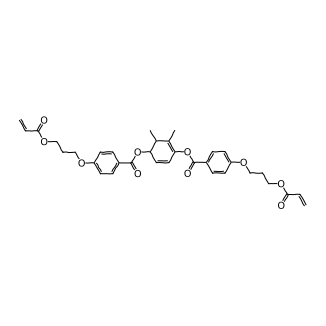 C=CC(=O)OCCCOc1ccc(C(=O)OC2=C(C)C(C)C(OC(=O)c3ccc(OCCCOC(=O)C=C)cc3)C=C2)cc1